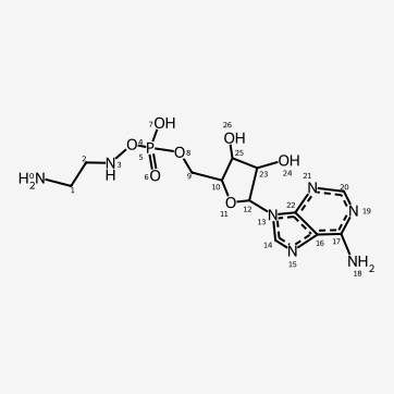 NCCNOP(=O)(O)OCC1OC(n2cnc3c(N)ncnc32)C(O)C1O